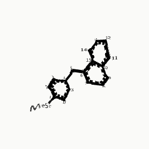 CSc1ccc(Cc2cccc3ccccc23)cc1